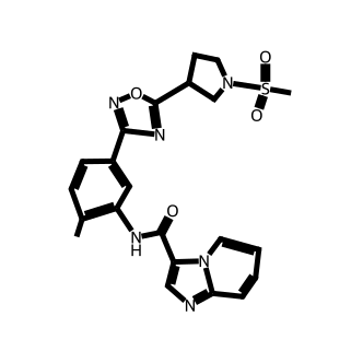 Cc1ccc(-c2noc(C3CCN(S(C)(=O)=O)C3)n2)cc1NC(=O)c1cnc2ccccn12